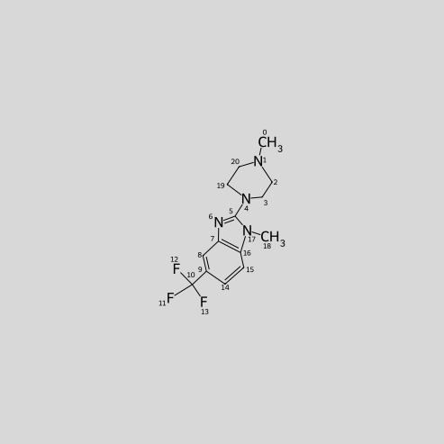 CN1CCN(c2nc3cc(C(F)(F)F)ccc3n2C)CC1